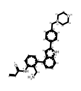 C=CC(=O)Nc1cccc(-c2cccc3[nH]c(-c4ccc(CN5CCOCC5)cc4)cc23)c1CN